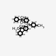 Cc1ccc(N(c2cccc(C(C)(C)c3ccccc3)c2)c2ccc3c(c2)C(C)(C)c2ccccc2-3)cc1